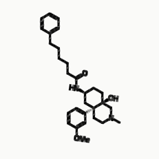 COc1cccc([C@@]23CCN(C)C[C@@]2(O)CC[C@H](NC(=O)CCCCCc2ccccc2)C3)c1